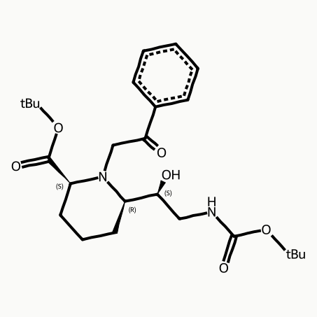 CC(C)(C)OC(=O)NC[C@H](O)[C@H]1CCC[C@@H](C(=O)OC(C)(C)C)N1CC(=O)c1ccccc1